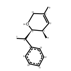 CC1=C[C@@H](C)[C@@H](C(C)c2ccccc2)OC1